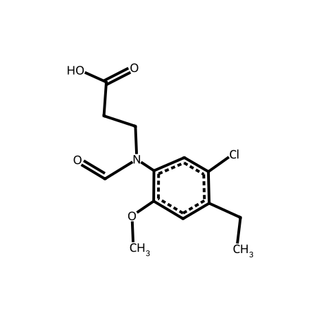 CCc1cc(OC)c(N(C=O)CCC(=O)O)cc1Cl